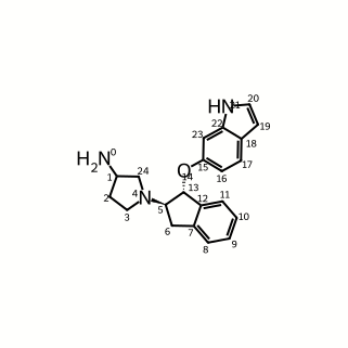 NC1CCN([C@@H]2Cc3ccccc3[C@H]2Oc2ccc3cc[nH]c3c2)C1